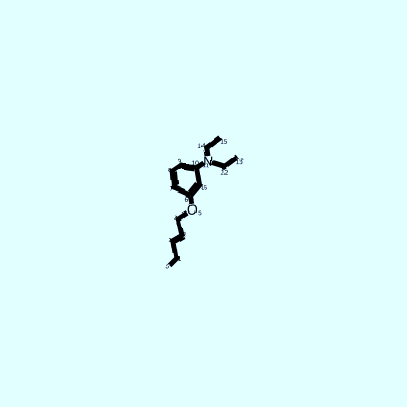 CCC=CCOc1[c]ccc(N(CC)CC)c1